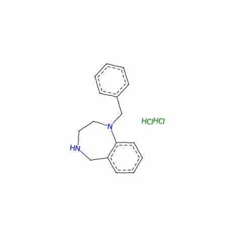 Cl.Cl.c1ccc(CN2CCNCc3ccccc32)cc1